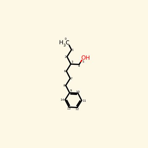 CCCC(CO)CCCc1ccccc1